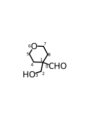 O=CC1(CO)CCOCC1